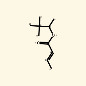 C/C=C/C(=O)OC(C)C(C)(C)C